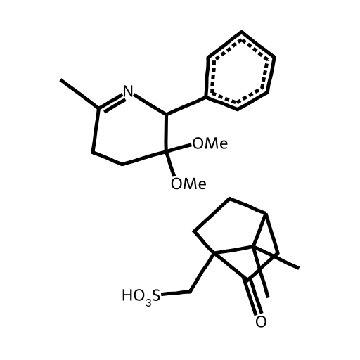 CC1(C)C2CCC1(CS(=O)(=O)O)C(=O)C2.COC1(OC)CCC(C)=NC1c1ccccc1